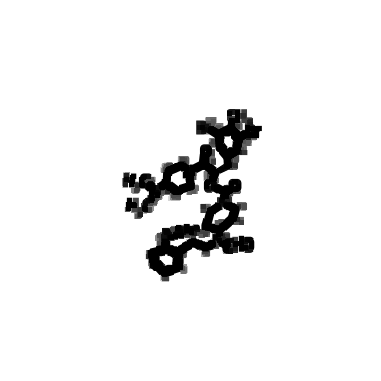 CNc1ccccc1CCN(C=O)C1CCN(C(=O)O[C@H](Cc2cc(Br)c(C)c(Br)c2)C(=O)N2CCC(N(C)C)CC2)CC1